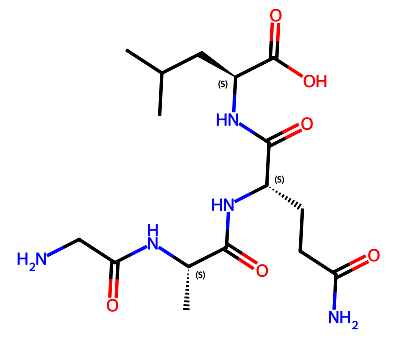 CC(C)C[C@H](NC(=O)[C@H](CCC(N)=O)NC(=O)[C@H](C)NC(=O)CN)C(=O)O